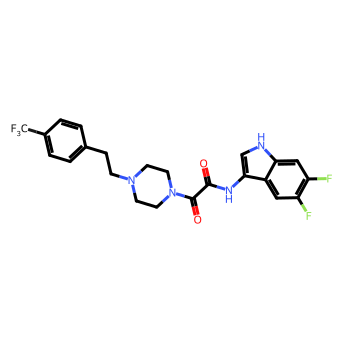 O=C(Nc1c[nH]c2cc(F)c(F)cc12)C(=O)N1CCN(CCc2ccc(C(F)(F)F)cc2)CC1